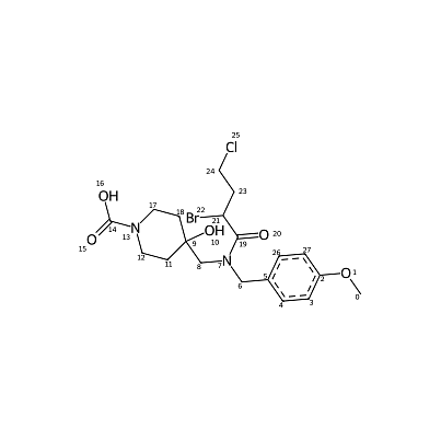 COc1ccc(CN(CC2(O)CCN(C(=O)O)CC2)C(=O)C(Br)CCCl)cc1